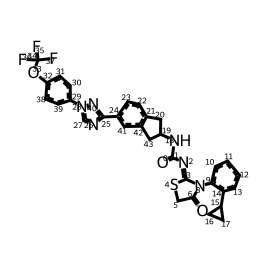 O=C(N=C1SCC(=O)N1c1ccccc1C1CC1)NC1Cc2ccc(-c3ncn(-c4ccc(OC(F)(F)F)cc4)n3)cc2C1